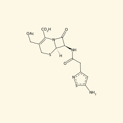 CC(=O)OCC1=C(C(=O)O)N2C(=O)[C@@H](NC(=O)Cc3cc(N)sn3)[C@H]2SC1